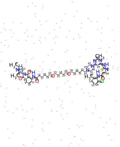 C=C1CCC(N2C(=O)c3cccc(NC(=O)CCCCCOCCCCCOCCCCCCN4CCN(c5cc(Nc6ncc(C(=O)Nc7c(C)cccc7Cl)s6)nc(C)n5)CC4)c3C2=O)C(=C)N1